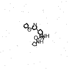 O=C(NC1CCCC1)c1n[nH]c2ccc(-c3cncc(Oc4ccccc4)c3)cc12